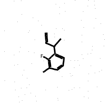 C=C[C](C)c1cccc(C)c1F